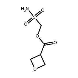 NS(=O)(=O)COC(=O)C1COC1